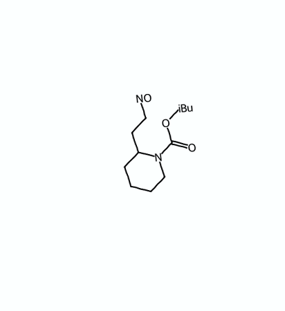 CCC(C)OC(=O)N1CCCCC1CCN=O